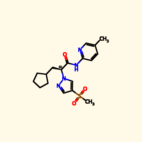 Cc1ccc(NC(=O)[C@H](CC2CCCC2)n2cc(S(C)(=O)=O)cn2)nc1